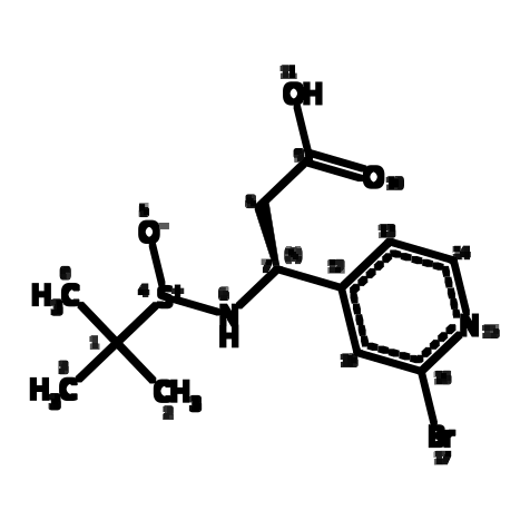 CC(C)(C)[S+]([O-])N[C@@H](CC(=O)O)c1ccnc(Br)c1